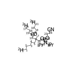 [2H]CCCCCC(COCCC[2H])(COCCC[2H])COP(OCCC#N)N(C(C)C)C(C)C